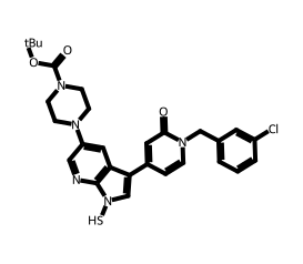 CC(C)(C)OC(=O)N1CCN(c2cnc3c(c2)c(-c2ccn(Cc4cccc(Cl)c4)c(=O)c2)cn3S)CC1